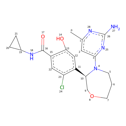 Cc1cc(N2CCCOC[C@H]2c2cc(O)c(C(=O)NC3CC3)cc2Cl)nc(N)n1